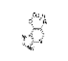 O=C(O)Oc1c(Br)cnc2[nH]cnc12